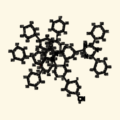 N#Cc1ccc(-c2ccc(-n3c4ccc(-c5ccccc5)cc4c4cc(-c5ccccc5)ccc43)c(-c3cc(-c4nc(-c5ccccc5)nc(-c5ccccc5)n4)ccc3-n3c4ccc(-c5ccccc5)cc4c4cc(-c5ccccc5)ccc43)c2)cc1